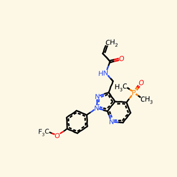 C=CC(=O)NCc1nn(-c2ccc(OC(F)(F)F)cc2)c2nccc(P(C)(C)=O)c12